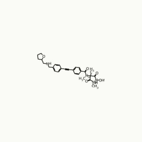 CNC(=O)[C@@](C)(C(=O)NO)N(C)C(=O)c1ccc(C#Cc2ccc(CNCC3CCCO3)cc2)cc1